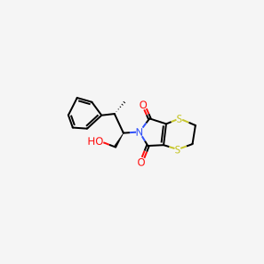 C[C@@H](c1ccccc1)[C@H](CO)N1C(=O)C2=C(SCCS2)C1=O